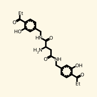 CCC(=O)c1ccc(CNC(=O)CC(N)C(=O)NCc2ccc(C(=O)CC)c(O)c2)cc1O